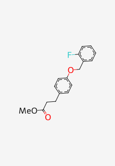 COC(=O)CCc1ccc(OCc2ccccc2F)cc1